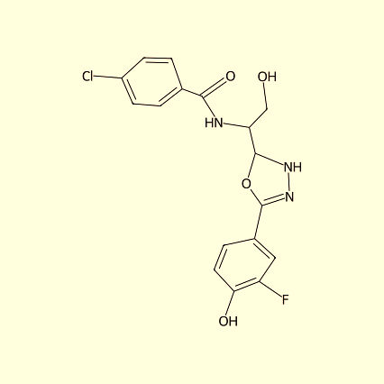 O=C(NC(CO)C1NN=C(c2ccc(O)c(F)c2)O1)c1ccc(Cl)cc1